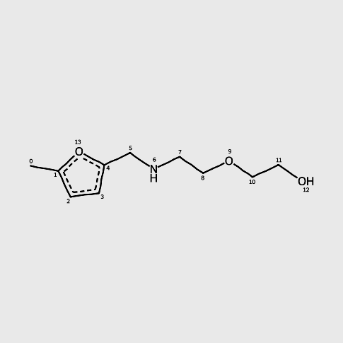 Cc1ccc(CNCCOCCO)o1